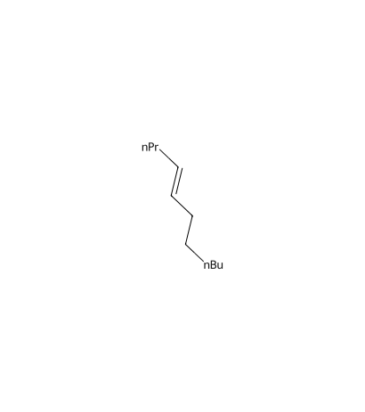 [CH2]CCCCC/C=C/CCC